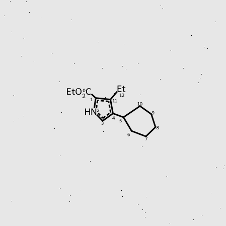 CCOC(=O)c1[nH]cc(C2CCCCC2)c1CC